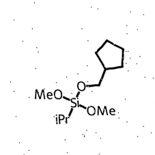 CO[Si](OC)(OCC1CCCC1)C(C)C